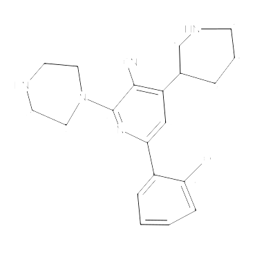 N#Cc1c(C2CCCNC2)cc(-c2ccccc2O)nc1N1CCNCC1